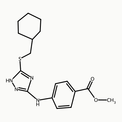 COC(=O)c1ccc(Nc2n[nH]c(SCC3CCCCC3)n2)cc1